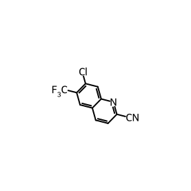 N#Cc1ccc2cc(C(F)(F)F)c(Cl)cc2n1